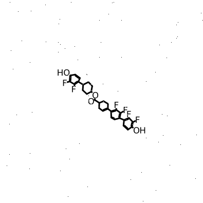 O=C(OC1CCC(c2ccc(O)c(F)c2F)CC1)C1CC=C(c2ccc(-c3ccc(O)c(F)c3F)c(F)c2F)CC1